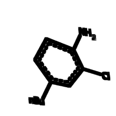 CCCCc1ccc(N)c(Cl)c1